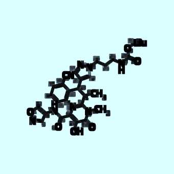 CC(c1nc(C(=O)Nc2cnoc2)c(O)c(=O)n1C)C(c1cnn(CCCNC(=O)OC(C)(C)C)c1)c1ccccc1C#N